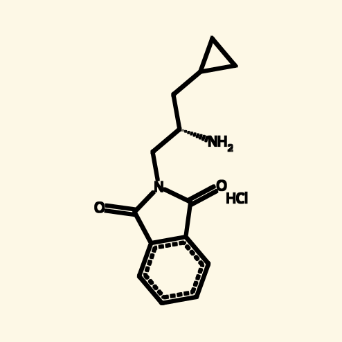 Cl.N[C@@H](CC1CC1)CN1C(=O)c2ccccc2C1=O